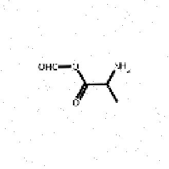 CC(N)C(=O)OC=O